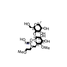 COCCN(C[C@H]1O[C@H](OC2[C@@H](CO)O[C@H](C)[C@H](O)[C@H]2O)[C@H](O)[C@@H](O)[C@@H]1OC)/[N+]([O-])=N/O